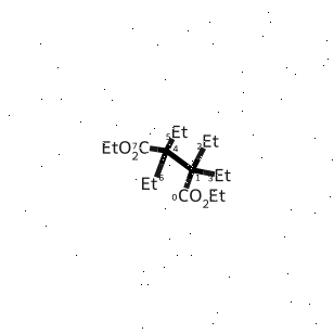 CCOC(=O)C(CC)(CC)C(CC)(CC)C(=O)OCC